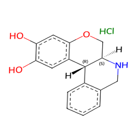 Cl.Oc1cc2c(cc1O)[C@H]1c3ccccc3CN[C@@H]1CO2